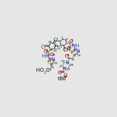 Cc1c(Cl)cccc1S(=O)(=O)Nc1ncc(CC(=O)N2CCN(C(=O)OC(C)(C)C)CC2)s1.O=C(O)Cc1cnc(NS(=O)(=O)c2ccc(Cl)cc2Cl)s1